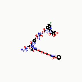 CC[C@@]1(O)C(=O)OCc2c1cc1n(c2=O)Cc2c-1nc1cc(F)c(C)c3c1c2[C@@H](NC(=O)COCNC(=O)CNC(=O)OCc1ccc(NC(=O)[C@H](CCCNC(N)=O)NC(=O)[C@@H](NC(=O)CCOCCOCCOCCOCCNC(=O)COC2/C=C\CCCCC2)C(C)C)cc1)CC3